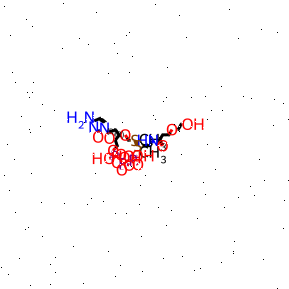 CC(C)(CNC(=O)CCOCCO)SSCO[C@@H]1C[C@H](n2ccc(N)nc2=O)OC1COP(=O)(O)OP(=O)(O)OP(=O)(O)O